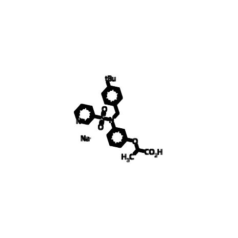 CC(Oc1cccc(N(Cc2ccc(C(C)(C)C)cc2)S(=O)(=O)c2cccnc2)c1)C(=O)O.[Na]